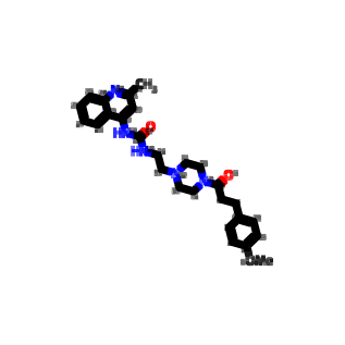 COc1ccc(CCC(=O)N2CCN(CCNC(=O)Nc3cc(C)nc4ccccc34)CC2)cc1